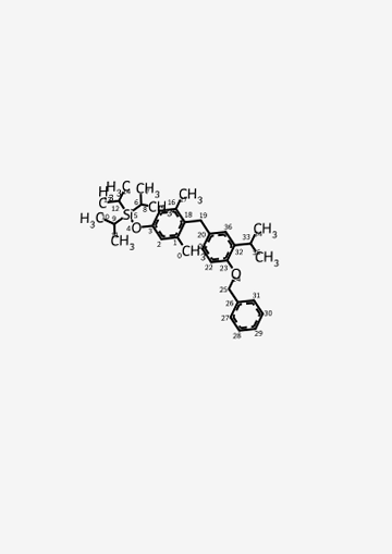 Cc1cc(O[Si](C(C)C)(C(C)C)C(C)C)cc(C)c1Cc1ccc(OCc2ccccc2)c(C(C)C)c1